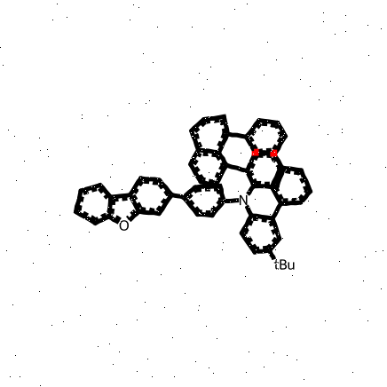 CC(C)(C)c1ccc(N(c2ccc(-c3ccc4c(c3)oc3ccccc34)cc2)c2ccccc2-c2cccc3cccc(-c4ccccc4)c23)c(-c2ccccc2)c1